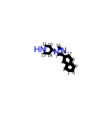 c1ccc2cc(-c3cn(C4CCNCC4)cn3)ccc2c1